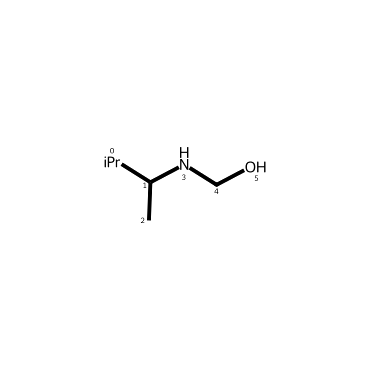 CC(C)C(C)NCO